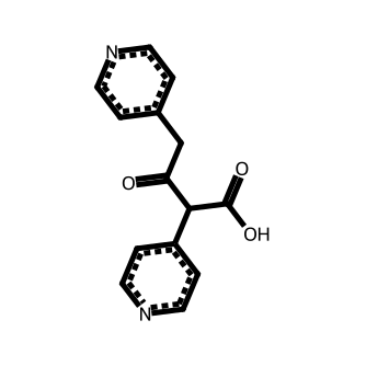 O=C(O)C(C(=O)Cc1ccncc1)c1ccncc1